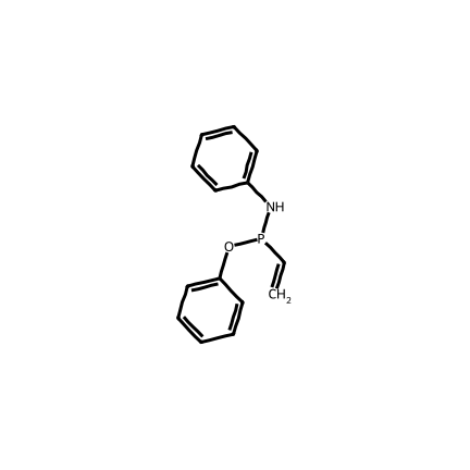 C=CP(Nc1ccccc1)Oc1ccccc1